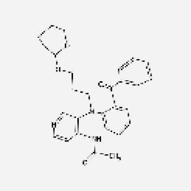 CC(=O)Nc1ccncc1N(CCCOC1CCCCO1)c1ccccc1C(=O)c1ccccc1